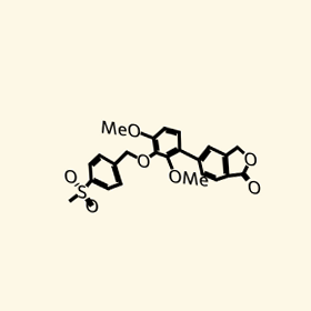 COc1ccc(-c2ccc3c(c2)COC3=O)c(OC)c1OCc1ccc(S(C)(=O)=O)cc1